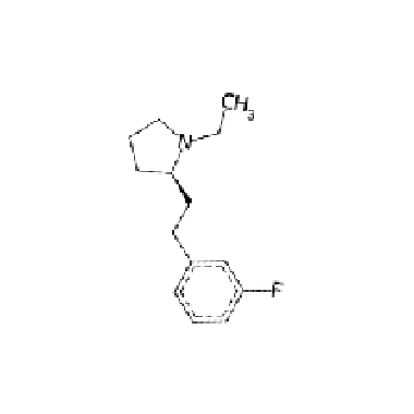 CCN1CCC[C@@H]1CCc1cccc(F)c1